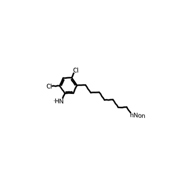 CCCCCCCCCCCCCCCCc1cc([NH])c(Cl)cc1Cl